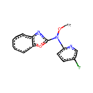 CCON(c1ccc(F)cn1)c1nc2ccccc2o1